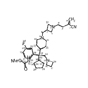 C=C(C#N)CCN1CC(CN2CCC([C@@](CN3CCC3)(c3cccc(F)c3)[C@H]3CCC[C@@H]3NC(=O)OC)CC2)C1